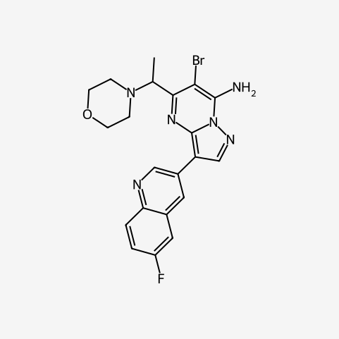 CC(c1nc2c(-c3cnc4ccc(F)cc4c3)cnn2c(N)c1Br)N1CCOCC1